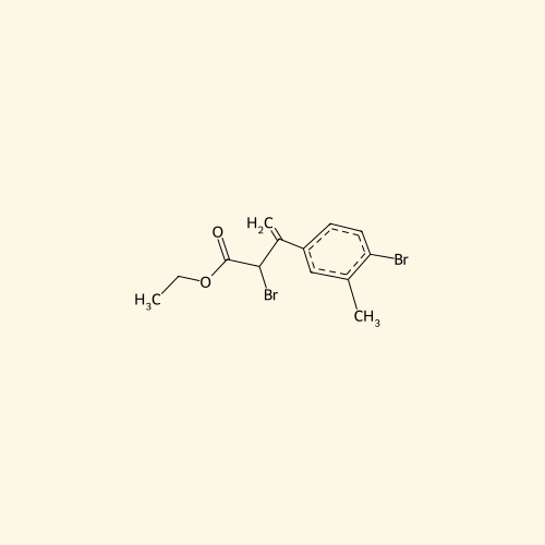 C=C(c1ccc(Br)c(C)c1)C(Br)C(=O)OCC